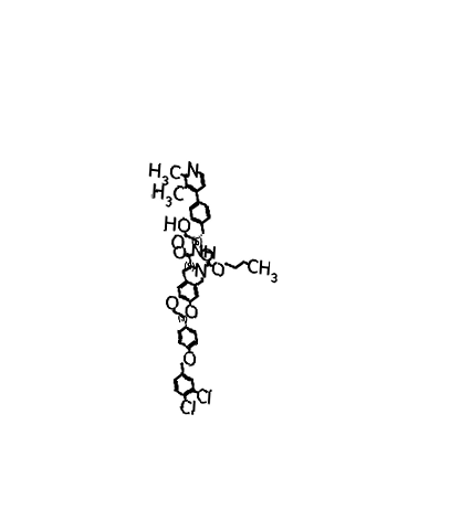 CCCCOC(=O)N1Cc2cc3c(cc2C[C@H]1C(=O)N[C@@H](Cc1ccc(-c2ccnc(C)c2C)cc1)C(=O)O)OC[C@H](c1ccc(OCc2ccc(Cl)c(Cl)c2)cc1)O3